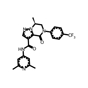 Cc1cc(NC(=O)c2cnn3c2C(=O)N(c2ccc(C(F)(F)F)cc2)C[C@@H]3C)cc(C)n1